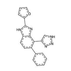 c1ccc(-c2ccc3[nH]c(-c4ccco4)nc3c2-c2c[nH]nn2)cc1